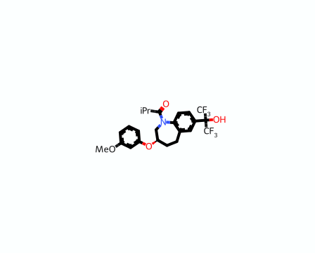 COc1cccc(O[C@@H]2CCc3cc(C(O)(C(F)(F)F)C(F)(F)F)ccc3N(C(=O)C(C)C)C2)c1